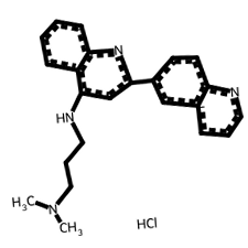 CN(C)CCCNc1cc(-c2ccc3ncccc3c2)nc2ccccc12.Cl